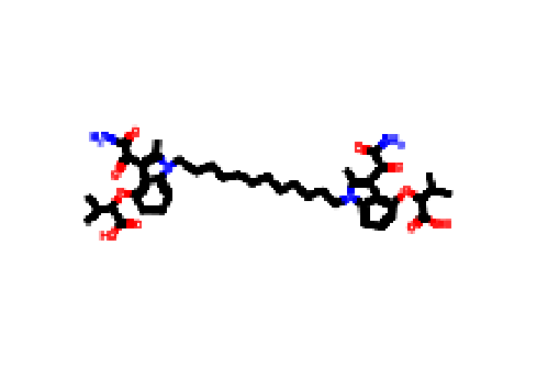 Cc1c(C(=O)C(N)=O)c2c(OC(C(=O)O)C(C)C)cccc2n1CCCCCCCCCCCCn1c(C)c(C(=O)C(N)=O)c2c(OC(C(=O)O)C(C)C)cccc21